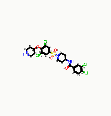 O=C(NC1CCN(S(=O)(=O)c2cc(Cl)c(OC3CCNCC3)c(Cl)c2)CC1)c1ccc(Cl)c(Cl)c1